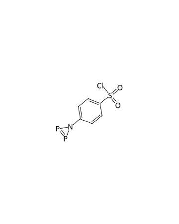 O=S(=O)(Cl)c1ccc(N2P=P2)cc1